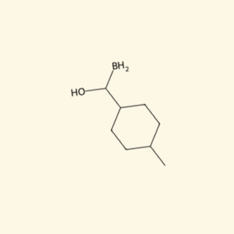 BC(O)C1CCC(C)CC1